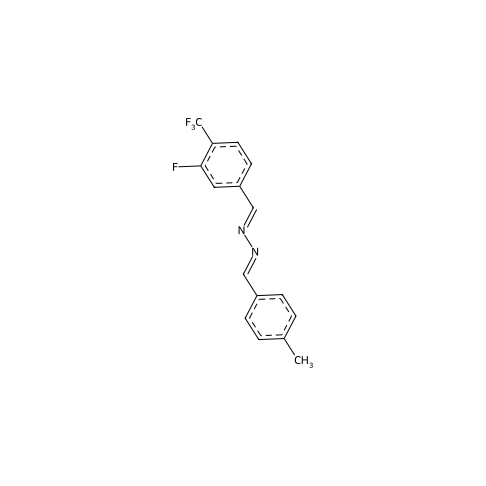 Cc1ccc(C=NN=Cc2ccc(C(F)(F)F)c(F)c2)cc1